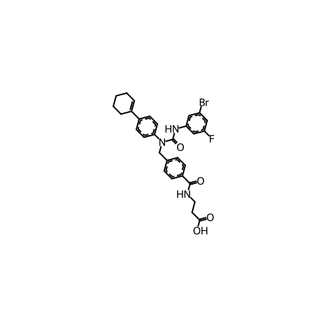 O=C(O)CCNC(=O)c1ccc(CN(C(=O)Nc2cc(F)cc(Br)c2)c2ccc(C3=CCCCC3)cc2)cc1